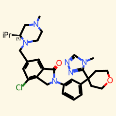 CC(C)[C@H]1CN(C)CCN1Cc1cc(Cl)c2c(c1)C(=O)N(c1cccc(C3(c4nncn4C)CCOCC3)c1)C2